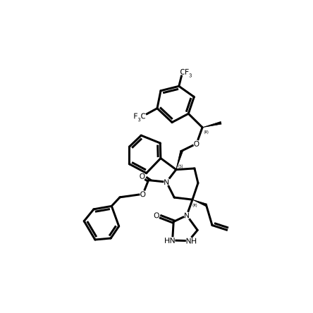 C=CC[C@]1(N2CNNC2=O)CC[C@@](CO[C@H](C)c2cc(C(F)(F)F)cc(C(F)(F)F)c2)(c2ccccc2)N(C(=O)OCc2ccccc2)C1